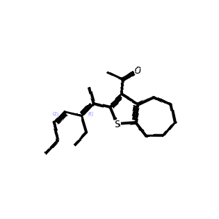 CC/C=C\C(CC)=C(/C)c1sc2c(c1C(C)=O)CCCCC2